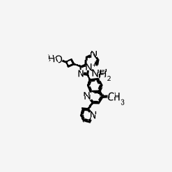 Cc1cc(-c2ccccn2)nc2cc(C3=NC(C4CC(O)C4)=C4C=NC=C[N+]34N)c(F)cc12